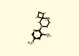 Cc1cnc(N2CCNC3(CCC3)C2)c(C)c1